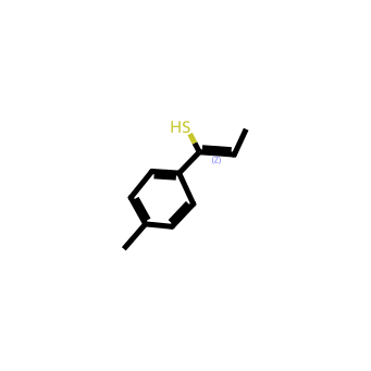 C/C=C(\S)c1ccc(C)cc1